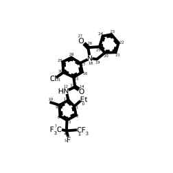 CCc1cc(C(F)(C(F)(F)F)C(F)(F)F)cc(C)c1NC(=O)c1cc(N2Cc3ccccc3C2=O)ccc1Cl